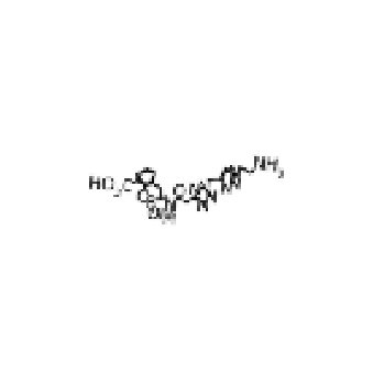 NCCn1cc(Cn2nnc(CC(=O)N[C@H]3Cc4cccc(C(=O)O)c4OB3O)n2)nn1